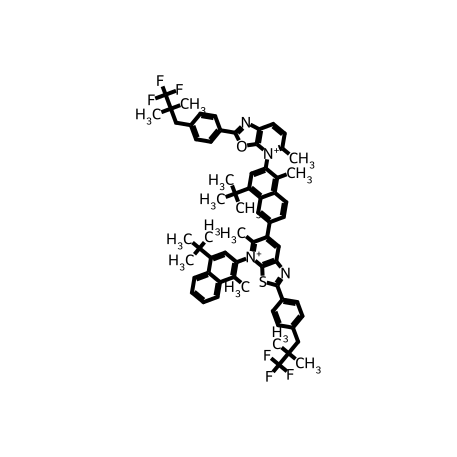 Cc1c(-[n+]2c(C)ccc3nc(-c4ccc(CC(C)(C)C(F)(F)F)cc4)oc32)cc(C(C)(C)C)c2cc(-c3cc4nc(-c5ccc(CC(C)(C)C(F)(F)F)cc5)sc4[n+](-c4cc(C(C)(C)C)c5ccccc5c4C)c3C)ccc12